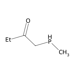 CCC(=O)CPC